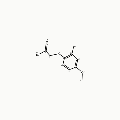 COc1ccc(CCC(=O)O)c(C)c1